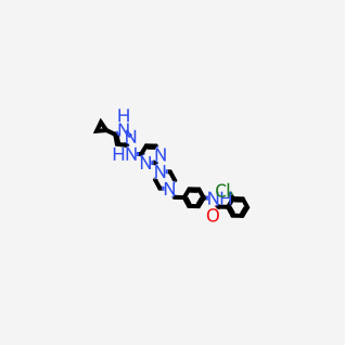 O=C(Nc1ccc(CN2CCN(c3nccc(Nc4cc(C5CC5)[nH]n4)n3)CC2)cc1)c1ccccc1Cl